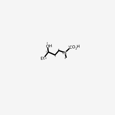 CCC(O)CCN(C)C(=O)O